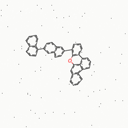 c1cc(-c2ccc3cc(-c4cccc5ccccc45)ccc3c2)c2c(c1)-c1cccc3c1c(cc1ccccc13)O2